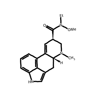 CCN(OC)C(=O)[C@@H]1C=C2c3cccc4[nH]cc(c34)C[C@H]2N(C)C1